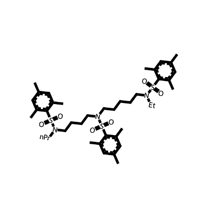 CCCN(CCCCN(CCCCCN(CC)S(=O)(=O)c1c(C)cc(C)cc1C)S(=O)(=O)c1c(C)cc(C)cc1C)S(=O)(=O)c1c(C)cc(C)cc1C